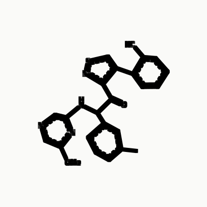 COc1cncc(NC(C(=O)c2nscc2-c2ccccc2C#N)c2cccc(C)c2)n1